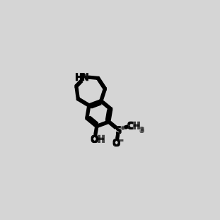 C[S+]([O-])c1cc2c(cc1O)CCNCC2